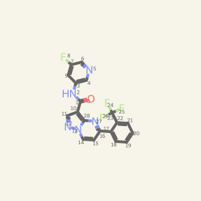 O=C(Nc1cncc(F)c1)c1cnn2ccc(-c3ccccc3C(F)(F)F)nc12